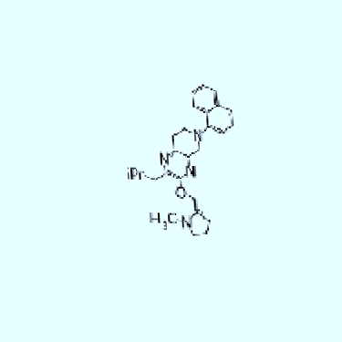 CC(C)Cc1nc2c(nc1OC[C@H]1CCCN1C)CN(c1cccc3ccccc13)CC2